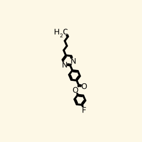 C=CCCCc1cnc(-c2ccc(C(=O)Oc3ccc(F)cc3)cc2)nc1